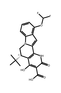 CC(C)(C)[C@@H]1Cn2c(cc3c(OC(F)F)cccc32)-c2[nH]c(=O)c(C(=O)O)c(O)c21